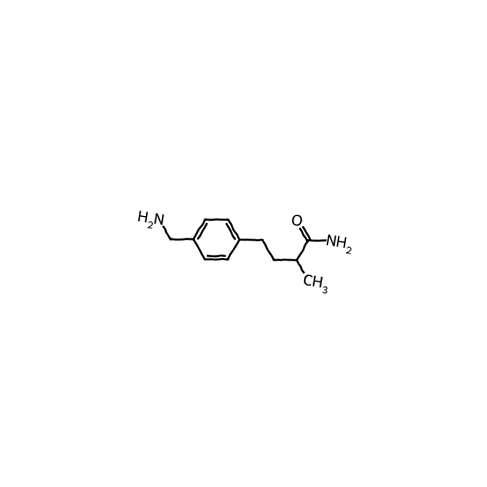 CC(CCc1ccc(CN)cc1)C(N)=O